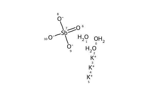 O.O.O.[K+].[K+].[K+].[O]=[Sb]([O-])([O-])[O-]